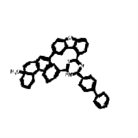 CC12C=CC=CC1c1ccc(-c3ccc4oc5cccc(C6=NC(c7ccc(-c8ccccc8)cc7)NC(c7ccccc7)=N6)c5c4c3)cc1C=C2